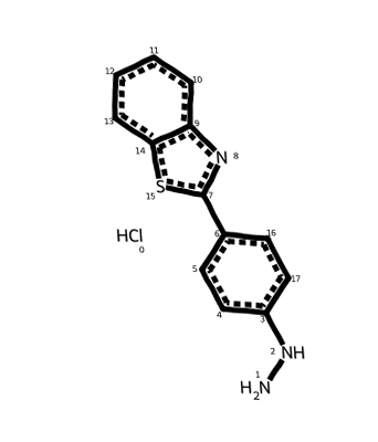 Cl.NNc1ccc(-c2nc3ccccc3s2)cc1